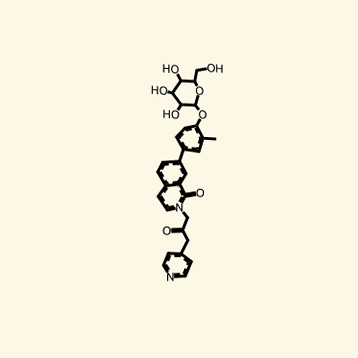 Cc1cc(-c2ccc3ccn(CC(=O)Cc4ccncc4)c(=O)c3c2)ccc1OC1OC(CO)C(O)C(O)C1O